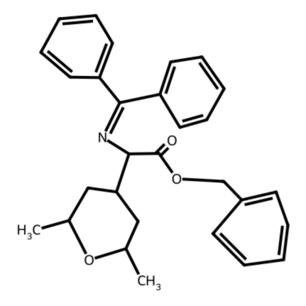 CC1CC(C(N=C(c2ccccc2)c2ccccc2)C(=O)OCc2ccccc2)CC(C)O1